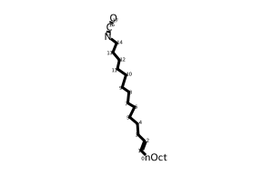 CCCCCCCC/C=C/CCCCCCCCCCCCN=C=O